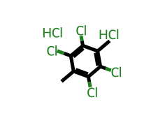 Cc1c(Cl)c(Cl)c(C)c(Cl)c1Cl.Cl.Cl